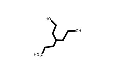 O=C(O)CCC(CCO)CCO